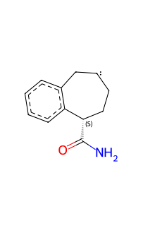 NC(=O)[C@H]1CC[C]Cc2ccccc21